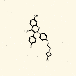 CCC1CN(CCOc2ccc([C@@H]3Oc4cc(O)ccc4C(C)=C3c3ccc(O)cc3)cc2)C1